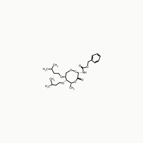 CC(C)CCO[C@H]1[C@H](C)OC(=O)[C@@H](NC(=O)OCc2ccccc2)COC[C@@H]1OCCC(C)C